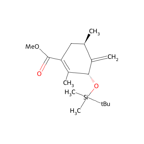 C=C1[C@H](O[Si](C)(C)C(C)(C)C)C(C)=C(C(=O)OC)C[C@H]1C